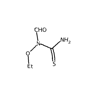 CCON(C=O)C(N)=S